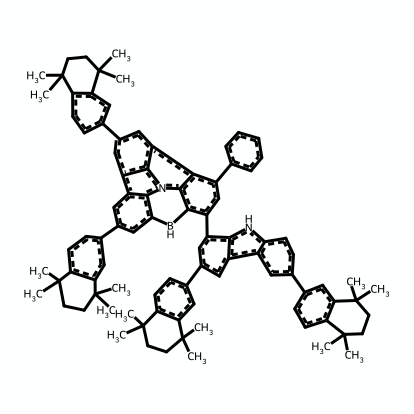 CC1(C)CCC(C)(C)c2cc(-c3ccc4[nH]c5c(-c6cc(-c7ccccc7)c7c8cc(-c9ccc%10c(c9)C(C)(C)CCC%10(C)C)cc9c%10cc(-c%11ccc%12c(c%11)C(C)(C)CCC%12(C)C)cc%11c%10n(c7c6B%11)c98)cc(-c6ccc7c(c6)C(C)(C)CCC7(C)C)cc5c4c3)ccc21